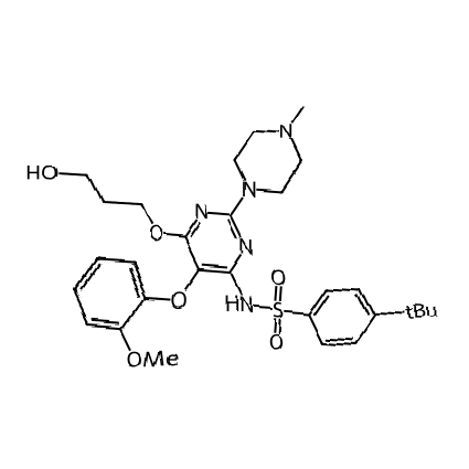 COc1ccccc1Oc1c(NS(=O)(=O)c2ccc(C(C)(C)C)cc2)nc(N2CCN(C)CC2)nc1OCCCO